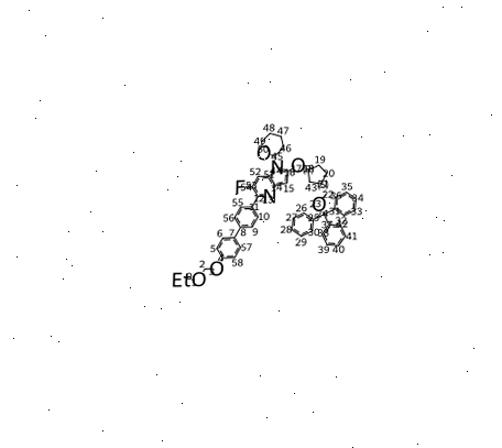 CCOCOc1ccc(-c2ccc(-c3nc4cc(O[C@@H]5CC[C@H](COC(c6ccccc6)(c6ccccc6)c6ccccc6)C5)n(C5CCCCO5)c4cc3F)cc2)cc1